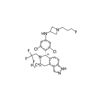 C[C@@H]1Cc2c(ccc3[nH]ncc23)[C@@H](c2c(Cl)cc(NC3CN(CCCF)C3)cc2Cl)N1CC(F)(F)F